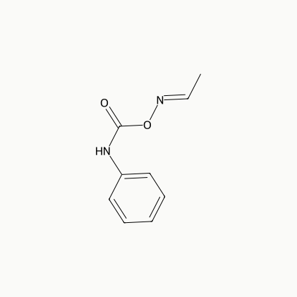 CC=NOC(=O)Nc1ccccc1